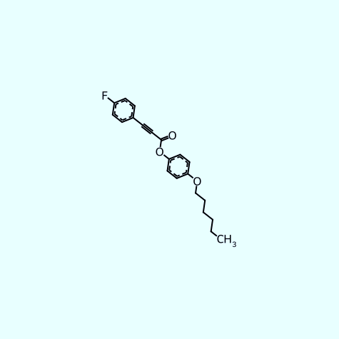 CCCCCCOc1ccc(OC(=O)C#Cc2ccc(F)cc2)cc1